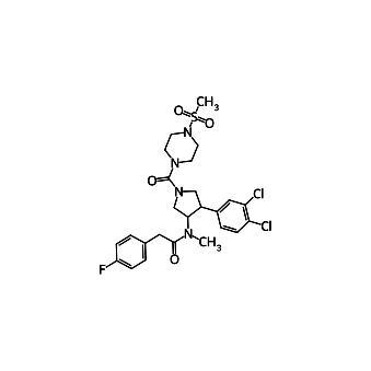 CN(C(=O)Cc1ccc(F)cc1)C1CN(C(=O)N2CCN(S(C)(=O)=O)CC2)CC1c1ccc(Cl)c(Cl)c1